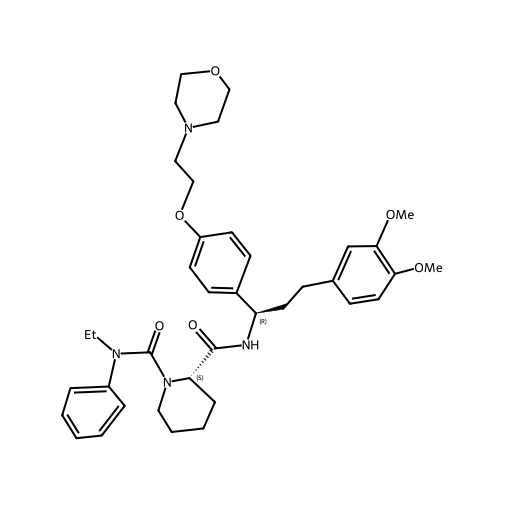 CCN(C(=O)N1CCCC[C@H]1C(=O)N[C@H](CCc1ccc(OC)c(OC)c1)c1ccc(OCCN2CCOCC2)cc1)c1ccccc1